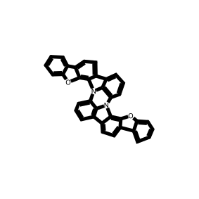 c1ccc2c(c1)oc1c2ccc2c3cccc4c3n(c3cccc5c6ccc7c8ccccc8oc7c6n4c53)c21